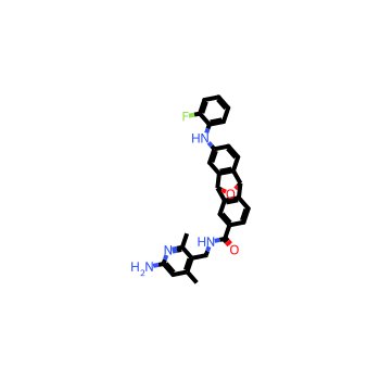 Cc1cc(N)nc(C)c1CNC(=O)c1ccc2c(c1)C1OC2c2ccc(Nc3ccccc3F)cc21